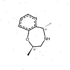 C[C@@H]1CN[C@@H](C)c2ncccc2O1